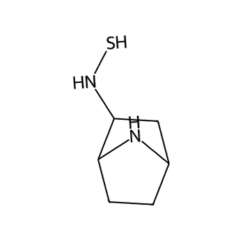 SNC1CC2CCC1N2